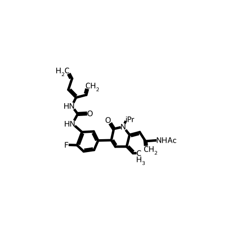 C=C/C=C(\C=C)NC(=O)Nc1cc(-c2cc(=C/C)/c(=C\C(=C)NC(C)=O)n(C(C)C)c2=O)ccc1F